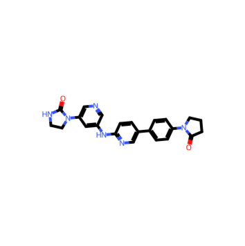 O=C1CCCN1c1ccc(-c2ccc(Nc3cncc(N4CCNC4=O)c3)nc2)cc1